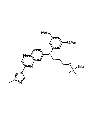 COc1cc(OC)cc(N(CCCO[Si](C)(C)C(C)(C)C)c2ccc3ncc(-c4cnn(C)c4)nc3c2)c1